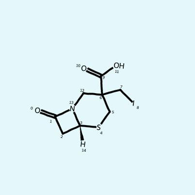 O=C1C[C@H]2SCC(CI)(C(=O)O)CN12